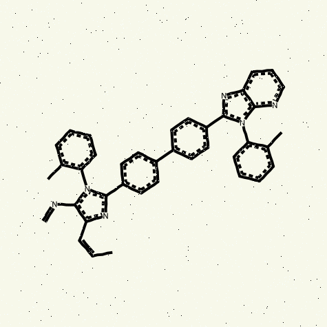 C=Nc1c(/C=C\C)nc(-c2ccc(-c3ccc(-c4nc5cccnc5n4-c4ccccc4C)cc3)cc2)n1-c1ccccc1C